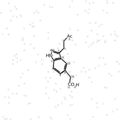 CC(=O)CCc1n[nH]c2ccc(CC(=O)O)cc12